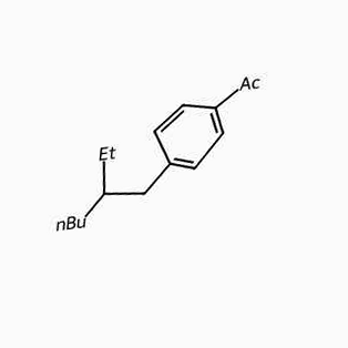 CCCCC(CC)Cc1ccc(C(C)=O)cc1